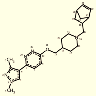 Cc1nn(C)cc1-c1ccc(OCC2CCN(CC3CC4C=CC3C4)CC2)nn1